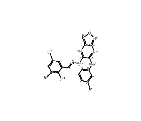 Oc1c(Br)cc(Cl)cc1C=NNc1nc2nonc2nc1Nc1cccc(Br)c1